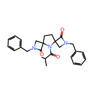 CC(C)C(=O)N1C2(CCC13CN(Cc1ccccc1)C3=O)CN(Cc1ccccc1)C2=O